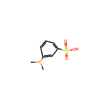 CP(C)c1cccc(S(=O)(=O)O)c1